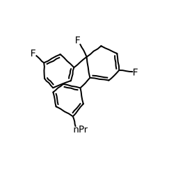 CCCc1cccc(C2=CC(F)=CCC2(F)c2cccc(F)c2)c1